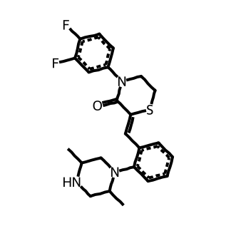 CC1CN(c2ccccc2/C=C2\SCCN(c3ccc(F)c(F)c3)C2=O)C(C)CN1